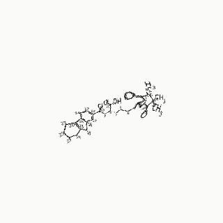 CN1C(=O)N(CCC[C@H](CC(=O)c2ccc3c(c2)CC2=C3CCCC2)C(=O)O)C(=O)C1(C)C